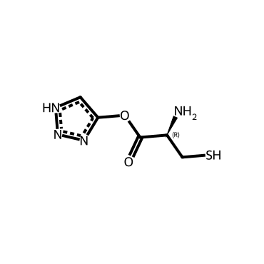 N[C@@H](CS)C(=O)Oc1c[nH]nn1